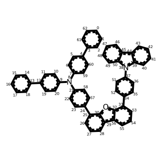 c1ccc(-c2ccc(N(c3ccc(-c4ccccc4)cc3)c3ccc(-c4cccc5c4oc4c(-c6ccc(-n7c8ccccc8c8ccccc87)cc6)cccc45)cc3)cc2)cc1